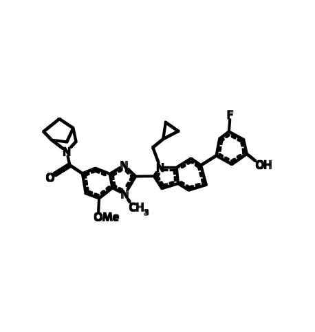 COc1cc(C(=O)N2CC3CCC2C3)cc2nc(-c3cc4ccc(-c5cc(O)cc(F)c5)cc4n3CC3CC3)n(C)c12